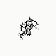 C[C@]12CCCC[C@@H]1CC[C@@H]1[C@@H]2CC[C@@]2(C)[C@H]1CC[C@]2(O)[C@@H]1CO1